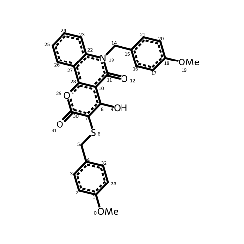 COc1ccc(CSc2c(O)c3c(=O)n(Cc4ccc(OC)cc4)c4ccccc4c3oc2=O)cc1